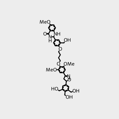 COc1ccc2c(c1)C(=O)NC(c1ccc(OCCCCOc3c(OC)cc(C4=NOC(c5cc(CO)c(CO)c(CO)c5)C4)cc3OC)c(CO)c1)N2